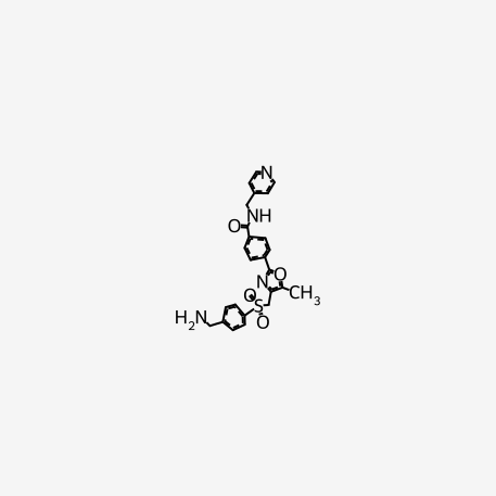 Cc1oc(-c2ccc(C(=O)NCc3ccncc3)cc2)nc1CS(=O)(=O)c1ccc(CN)cc1